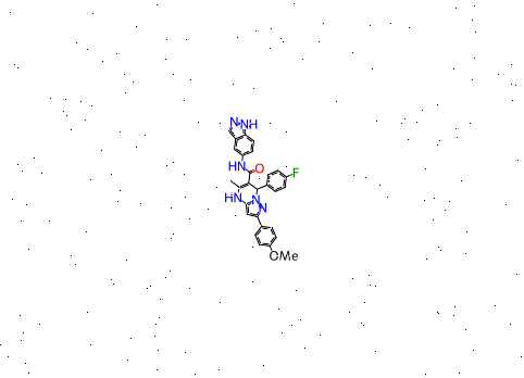 COc1ccc(-c2cc3n(n2)C(c2ccc(F)cc2)C(C(=O)Nc2ccc4[nH]ncc4c2)=C(C)N3)cc1